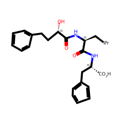 CC(C)C[C@H](NC(=O)[C@@H](O)CCc1ccccc1)C(=O)N[C@@H](Cc1ccccc1)C(=O)O